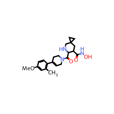 COc1ccc(C2=CCN(C(=O)C3NCC4(CC4)CC3C(=O)NO)CC2)c(C)c1